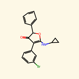 O=C1C(c2cccc(Br)c2)=C(NC2CC2)OC1c1ccccc1